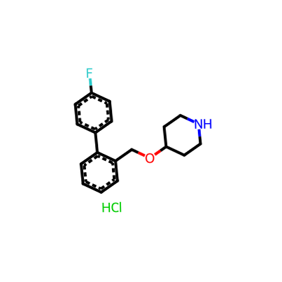 Cl.Fc1ccc(-c2ccccc2COC2CCNCC2)cc1